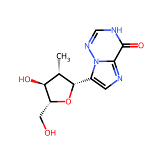 C[C@H]1[C@H](O)[C@@H](CO)O[C@H]1c1cnc2c(=O)[nH]cnn12